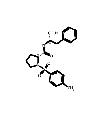 Cc1ccc(S(=O)(=O)N2CCC[C@@H]2C(=O)N[C@@H](Cc2ccccc2)C(=O)O)cc1